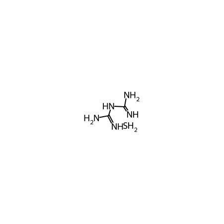 N=C(N)NC(=N)N.S